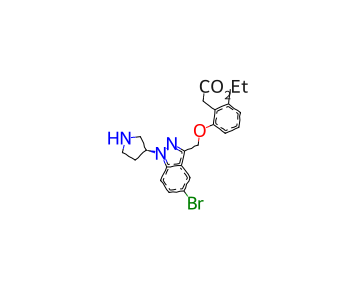 CCOC(=O)Cc1c(C)cccc1OCc1nn([C@H]2CCNC2)c2ccc(Br)cc12